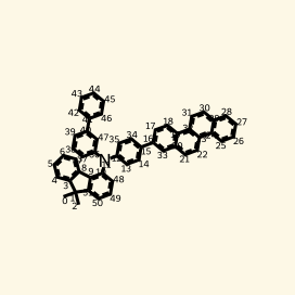 CC1(C)c2ccccc2-c2c(N(c3ccc(-c4ccc5c(ccc6c7ccccc7ccc56)c4)cc3)c3cccc(-c4ccccc4)c3)cccc21